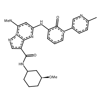 CNc1cc(Nc2cccn(-c3ccc(C)nc3)c2=O)nc2c(C(=O)NC3CCC[C@H](OC)C3)cnn12